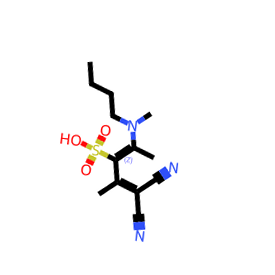 CCCCN(C)/C(C)=C(/C(C)=C(C#N)C#N)S(=O)(=O)O